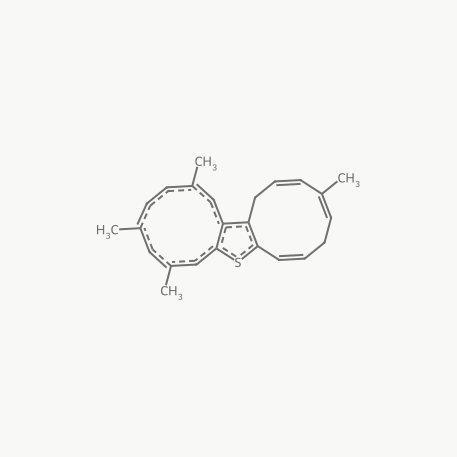 CC1=C/C/C=C\c2sc3cc(C)cc(C)ccc(C)cc3c2C/C=C\1